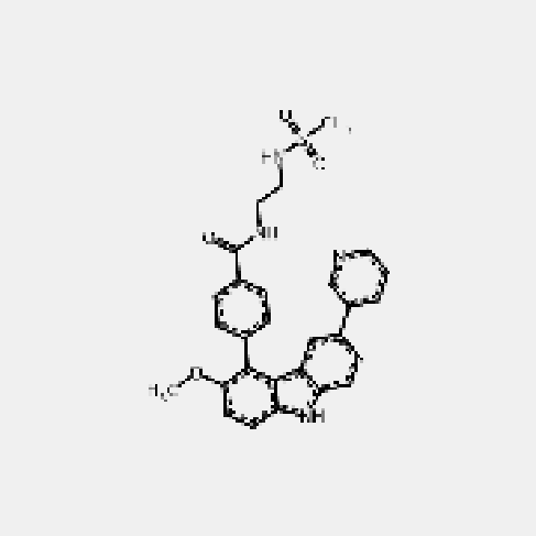 COc1ccc2[nH]c3cnc(-c4cccnc4)cc3c2c1-c1ccc(C(=O)NCCNS(C)(=O)=O)cc1